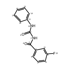 O=C(NC(=O)c1cccc(F)c1)Nc1c[c]ccc1